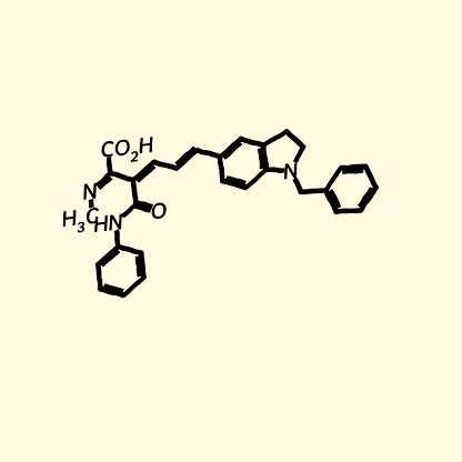 C\N=C(C(=O)O)/C(=C/C=C/c1ccc2c(c1)CCN2Cc1ccccc1)C(=O)Nc1ccccc1